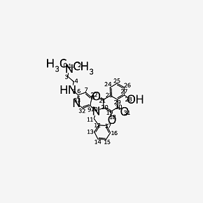 CN(C)CCNc1ccc(N2Cc3ccccc3OC3=C2C(=O)c2cccc(O)c2C3=O)cn1